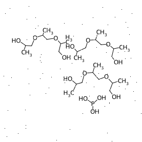 CC(O)COC(C)COC(C)CO.CC(O)COC(C)COC(C)CO.CC(O)COC(C)COC(C)CO.OP(O)O